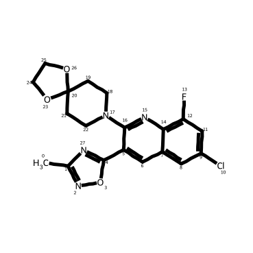 Cc1noc(-c2cc3cc(Cl)cc(F)c3nc2N2CCC3(CC2)OCCO3)n1